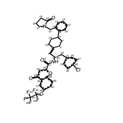 O=C(N[C@@H](C=C1CCC(c2ccccc2CN2CCCC2=O)CC1)Cc1ccc(Cl)cc1)c1cc(=O)c2cc(OC(F)(F)C(F)(F)F)ccc2o1